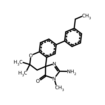 CCc1cccc(-c2ccc3c(c2)C2(CC(C)(C)O3)N=C(N)N(C)C2=O)c1